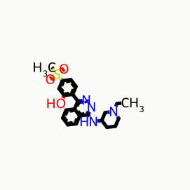 CCN1CCCC(Nc2nnc(-c3ccc(S(C)(=O)=O)cc3O)c3ccccc23)C1